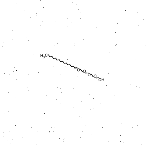 CCCCCCCCCCCCCCCCC=COCCOCCOCCOCCO